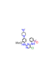 COc1cc(N2CCC(N(C)C)CC2)ccc1Nc1ncc(Cl)c(Nc2ccccc2P(C)(C)=O)n1